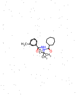 Cc1cccc(C(=O)NN(C(=O)C2CCCCCC2)C(C)(C)C)c1